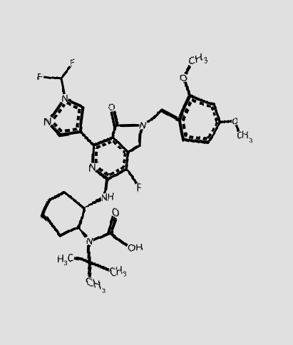 COc1ccc(CN2Cc3c(F)c(N[C@@H]4CCCC[C@@H]4N(C(=O)O)C(C)(C)C)nc(-c4cnn(C(F)F)c4)c3C2=O)c(OC)c1